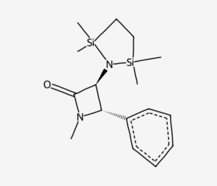 CN1C(=O)[C@@H](N2[Si](C)(C)CC[Si]2(C)C)[C@@H]1c1ccccc1